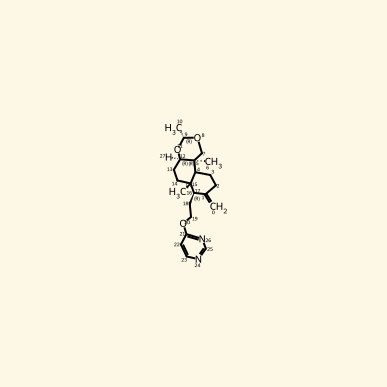 C=C1CCC2[C@]3(C)CO[C@@H](C)O[C@@H]3CC[C@@]2(C)[C@@H]1CCOc1ccncn1